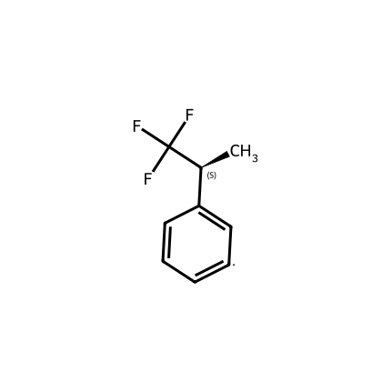 C[C@@H](c1c[c]ccc1)C(F)(F)F